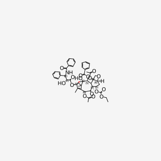 CCOC(=O)O[C@H]1C[C@H]2OC[C@@]2(OC(C)=O)C2[C@H](OC(=O)c3ccccc3)[C@]3(O)C[C@H](OC(=O)[C@H](O)[C@H](NC(=O)c4ccccc4)c4ccccc4)C(C)=C([C@@H](OC(C)=O)C(=O)[C@@]21C)C3(C)C